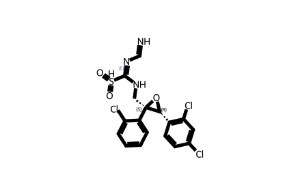 N=C/N=C(\NC[C@]1(c2ccccc2Cl)O[C@@H]1c1ccc(Cl)cc1Cl)[SH](=O)=O